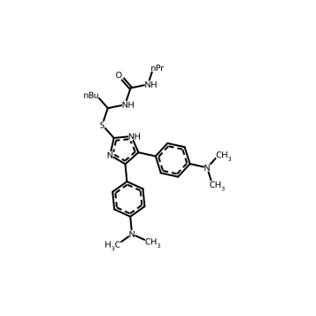 CCCCC(NC(=O)NCCC)Sc1nc(-c2ccc(N(C)C)cc2)c(-c2ccc(N(C)C)cc2)[nH]1